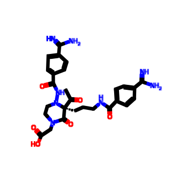 CC(=O)[C@@]1(CCCNC(=O)c2ccc(C(=N)N)cc2)C(=O)N(CC(=O)O)CCN1NC(=O)c1ccc(C(=N)N)cc1